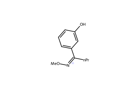 CCC/C(=N/OC)c1cccc(O)c1